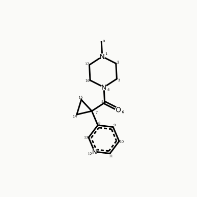 CN1CCN(C(=O)C2(c3cccnc3)CC2)CC1